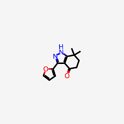 CC1(C)CCC(=O)c2c(-c3ccco3)n[nH]c21